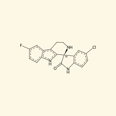 O=C1Nc2ccc(Cl)cc2[C@]12NCCc1c2[nH]c2ccc(F)cc12